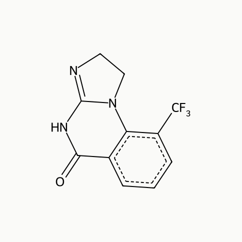 O=C1NC2=NCCN2c2c1cccc2C(F)(F)F